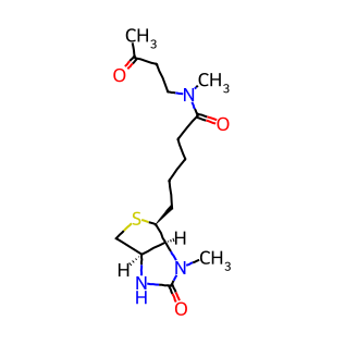 CC(=O)CCN(C)C(=O)CCCC[C@@H]1SC[C@@H]2NC(=O)N(C)[C@@H]21